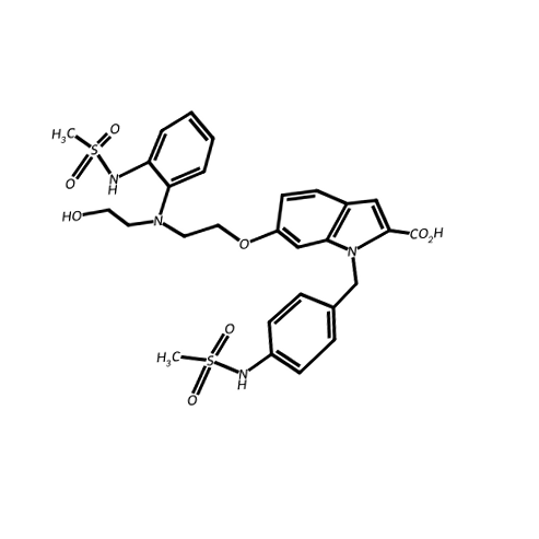 CS(=O)(=O)Nc1ccc(Cn2c(C(=O)O)cc3ccc(OCCN(CCO)c4ccccc4NS(C)(=O)=O)cc32)cc1